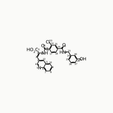 O=C(O)C(=Cc1cnc2ccccc2c1)NC(=O)c1ccc(C(=O)NCc2cccc(O)c2)cc1Cl